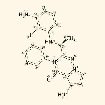 Cc1ccn2nc([C@H](C)Nc3ncnc(N)c3I)n(-c3ccccc3)c(=O)c12